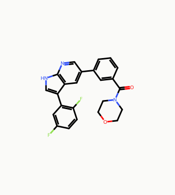 O=C(c1cccc(-c2cnc3[nH]cc(-c4cc(F)ccc4F)c3c2)c1)N1CCOCC1